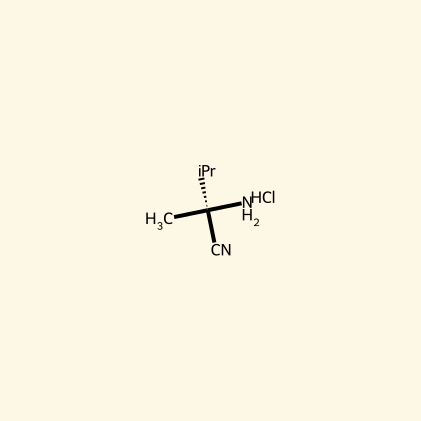 CC(C)[C@](C)(N)C#N.Cl